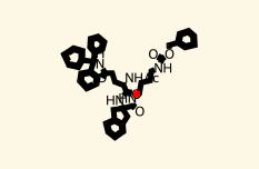 CC(=O)N[C@@H](CCC(=O)NC(c1ccccc1)(c1ccccc1)c1ccccc1)C(=O)NC1(C(=O)NCCCCNC(=O)OCc2ccccc2)Cc2ccccc2C1